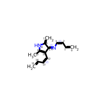 C=C/C=C\N=C1/C(=C)NC(C)=C1/C=C\C=C